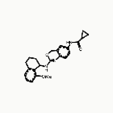 COc1cccc2c1C(NC1=Nc3ccc(NC(=O)C4CC4)cc3CO1)CCC2